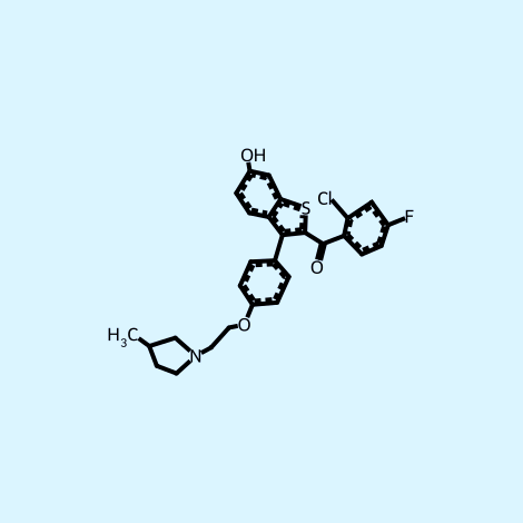 CC1CCN(CCOc2ccc(-c3c(C(=O)c4ccc(F)cc4Cl)sc4cc(O)ccc34)cc2)C1